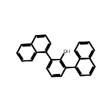 Oc1c(-c2cccc3ccccc23)cccc1-c1cccc2ccccc12